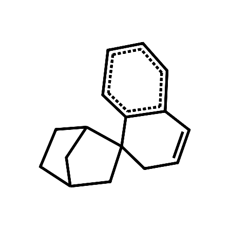 C1=Cc2ccccc2C2(C1)CC1CCC2C1